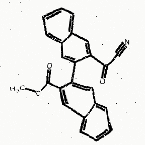 COC(=O)c1cc2ccccc2cc1-c1cc2ccccc2cc1C(=O)C#N